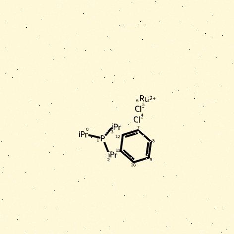 CC(C)P(C(C)C)C(C)C.[Cl-].[Cl-].[Ru+2].c1ccccc1